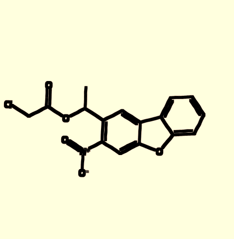 CC(OC(=O)CCl)c1cc2c(cc1[N+](=O)[O-])oc1ccccc12